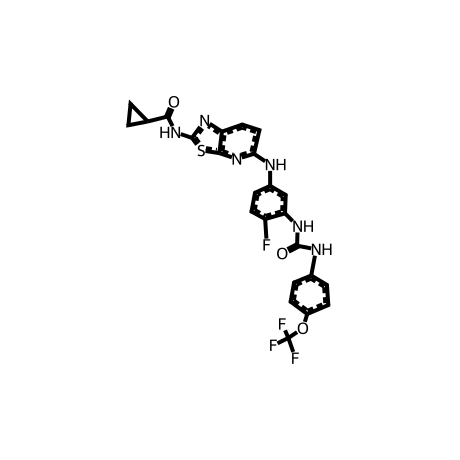 O=C(Nc1ccc(OC(F)(F)F)cc1)Nc1cc(Nc2ccc3nc(NC(=O)C4CC4)sc3n2)ccc1F